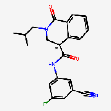 CC(C)CN1C[C@H](C(=O)Nc2cc(F)cc(C#N)c2)c2ccccc2C1=O